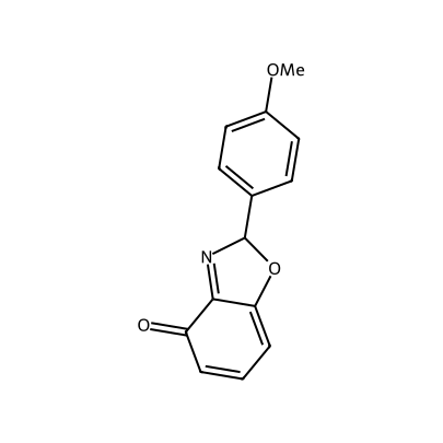 COc1ccc(C2N=C3C(=O)C=CC=C3O2)cc1